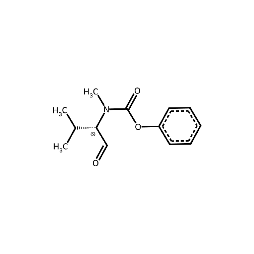 CC(C)[C@@H](C=O)N(C)C(=O)Oc1ccccc1